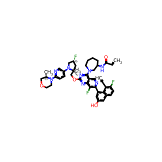 C#Cc1c(F)ccc2cc(O)cc(-c3ncc4c(N5CCCCC(NC(=O)C=C)C5)nc(OC[C@]5(C)C[C@@H](F)CN5c5ccc(N6CCOC[C@H]6C)nc5)nc4c3F)c12